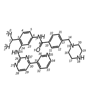 [2H]C([2H])c1ccc(NC(=O)c2ccc(CN3CCNCC3)cc2)cc1Nc1nccc(-c2cccnc2)n1